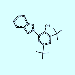 CC(C)(C)c1cc(-n2cc3ccccc3c2)c(O)c(C(C)(C)C)c1